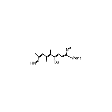 C=N\C(=C/C=C(/C(C)=C(C)/C=C(/C)C=N)C(C)CC)CCCCC